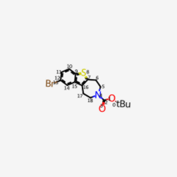 CC(C)(C)OC(=O)N1CCc2sc3ccc(Br)cc3c2CC1